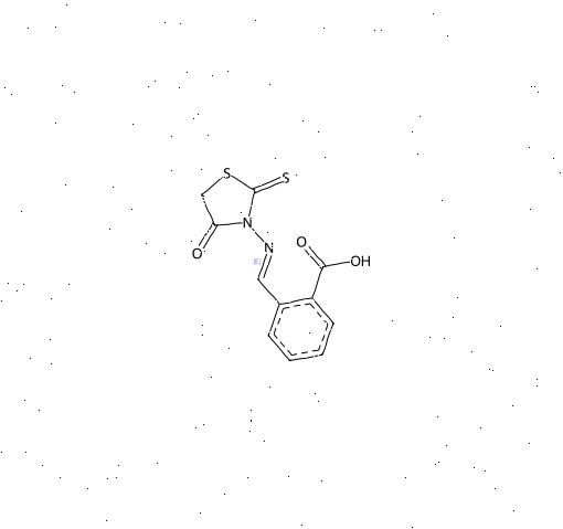 O=C(O)c1ccccc1/C=N/N1C(=O)CSC1=S